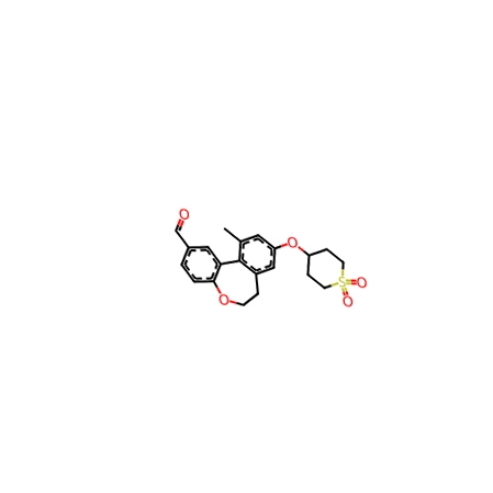 Cc1cc(OC2CCS(=O)(=O)CC2)cc2c1-c1cc(C=O)ccc1OCC2